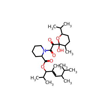 C/C(=C\C(C)C(C)C)C(OC(=O)C1CCCCN1C(=O)C(=O)C1(O)OC(C(C)C)CCC1C)C(C)C